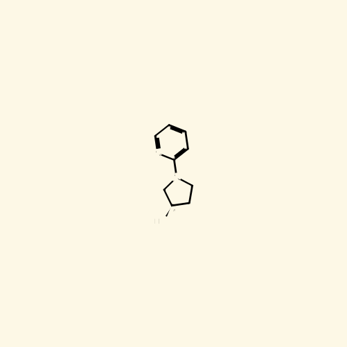 O[C@@H]1CCN(c2cc[c]cn2)C1